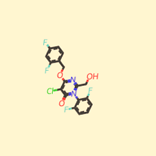 O=c1c(Cl)c(OCc2ccc(F)cc2F)nc(CO)n1-c1c(F)cccc1F